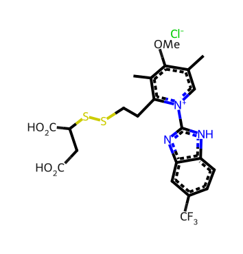 COc1c(C)c[n+](-c2nc3cc(C(F)(F)F)ccc3[nH]2)c(CCSSC(CC(=O)O)C(=O)O)c1C.[Cl-]